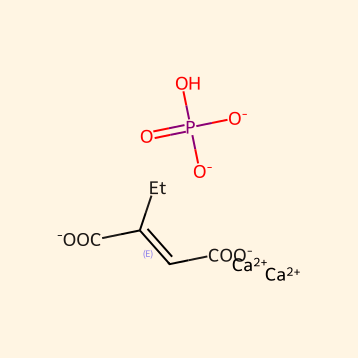 CC/C(=C\C(=O)[O-])C(=O)[O-].O=P([O-])([O-])O.[Ca+2].[Ca+2]